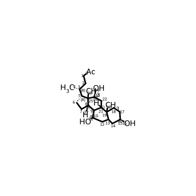 CC(=O)CC[C@@H](C)[C@H]1CC[C@H]2C3[C@H](O)CC4C[C@H](O)CCC4(C)[C@H]3C[C@H](O)C12C